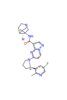 Cc1ncc(F)cc1[C@H]1CCCN1c1ccn2ncc(C(=O)N[C@@H]3CN4CCC3CC4)c2n1